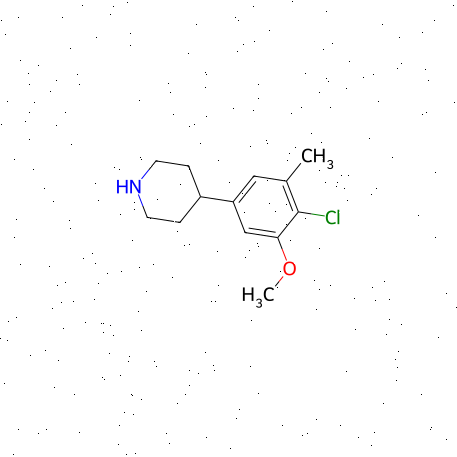 COc1cc(C2CCNCC2)cc(C)c1Cl